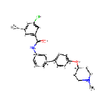 Cc1cc(Cl)cc(C(=O)Nc2cccc(-c3ccc(OC4CCN(C)CC4)cc3)c2)c1